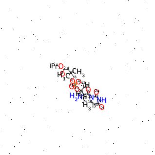 CC(C)OC(=O)CC(C)(C)CO[P@@]1(=O)OC[C@H]2O[C@@H](n3ccc(=O)[nH]c3=O)[C@](C)(N)[C@@H]2O1